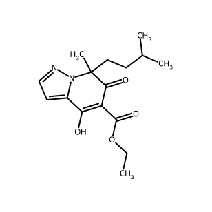 CCOC(=O)C1=C(O)c2ccnn2C(C)(CCC(C)C)C1=O